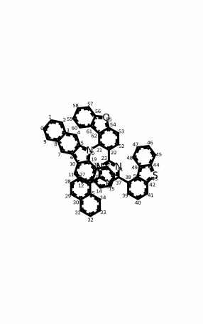 c1ccc2cc3c(cc2c1)c1ccc2ccccc2c1n3-c1c(-c2nc(-c3cccc4ccccc34)nc(-c3cccc4sc5ccccc5c34)n2)ccc2oc3ccccc3c12